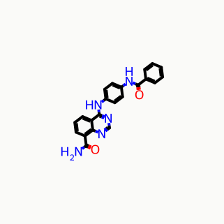 NC(=O)c1cccc2c(Nc3ccc(NC(=O)c4ccccc4)cc3)ncnc12